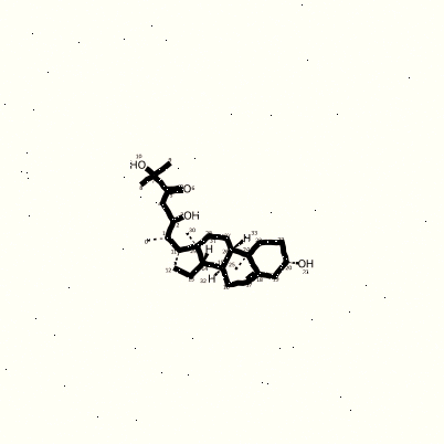 C[C@H](C(O)CC(=O)C(C)(C)O)[C@H]1CC[C@H]2[C@@H]3CC=C4C[C@@H](O)CC[C@]4(C)[C@H]3CC[C@]12C